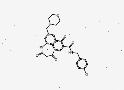 O=C1CC(=O)n2cc(C(=O)NCc3ccc(Cl)cc3)c(=O)c3cc(CN4CCOCC4)cc(c32)N1